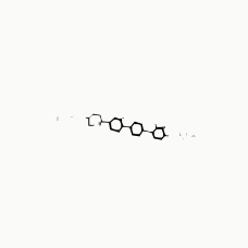 CCCCCC1CCC(c2ccc(-c3ccc(-c4ccc(OC)c(F)c4F)cc3)c(F)c2F)OC1